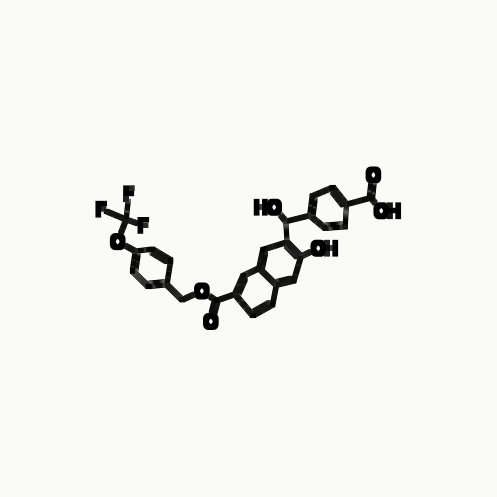 O=C(O)c1ccc(C(O)c2cc3cc(C(=O)OCc4ccc(OC(F)(F)F)cc4)ccc3cc2O)cc1